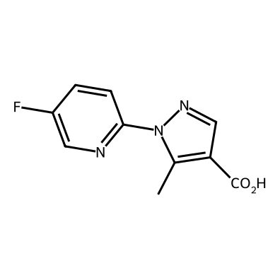 Cc1c(C(=O)O)cnn1-c1ccc(F)cn1